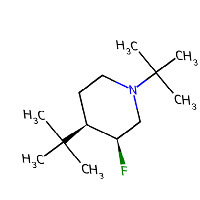 CC(C)(C)[C@H]1CCN(C(C)(C)C)C[C@H]1F